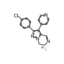 C[C@@H]1Cn2nc(-c3ccc(Cl)cc3)c(-c3ccncc3)c2C=N1